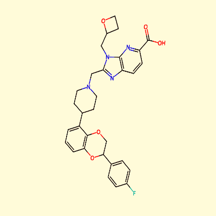 O=C(O)c1ccc2nc(CN3CCC(c4cccc5c4OCC(c4ccc(F)cc4)O5)CC3)n(CC3CCO3)c2n1